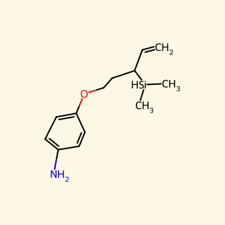 C=CC(CCOc1ccc(N)cc1)[SiH](C)C